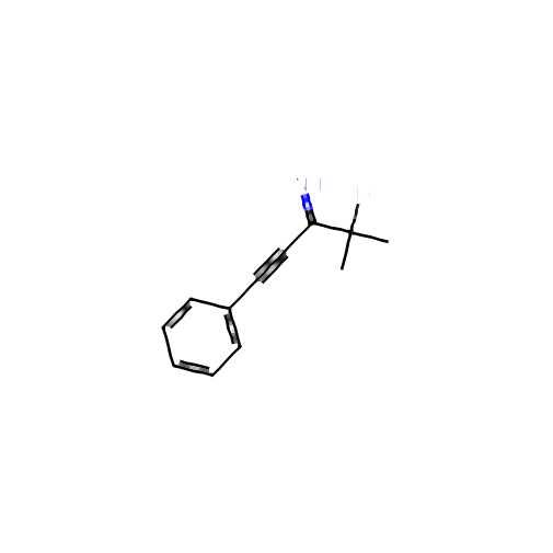 CCC(C)(C)C(=N)C#Cc1ccccc1